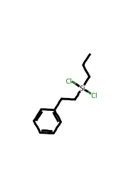 CCC[Si](Cl)(Cl)CCc1ccccc1